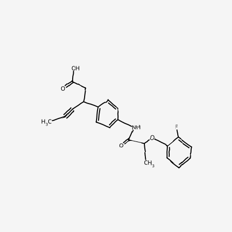 CC#CC(CC(=O)O)c1ccc(NC(=O)C(C)Oc2ccccc2F)cc1